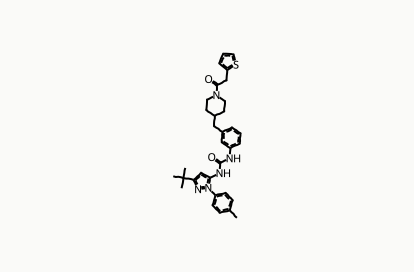 Cc1ccc(-n2nc(C(C)(C)C)cc2NC(=O)Nc2cccc(CC3CCN(C(=O)Cc4cccs4)CC3)c2)cc1